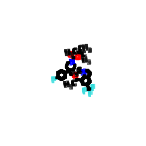 CC(OCC1(c2ccc(F)cc2)CCN(C(=O)OC(C)(C)C)CC1)c1cc(C(F)(F)F)cc2ccn(C)c12